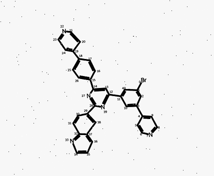 Brc1cc(-c2ccncc2)cc(-c2cc(-c3ccc(-c4ccncc4)cc3)nc(-c3ccc4ncccc4c3)n2)c1